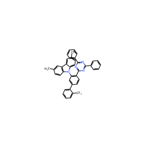 Cc1ccc2c(c1)c1cc(C)ccc1n2-c1cc(-c2ccccc2C(F)(F)F)ccc1-c1nc(-c2ccccc2)nc(-c2ccccc2)n1